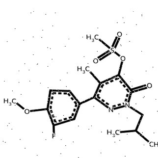 COc1ccc(-c2nn(CC(C)C)c(=O)c(OS(C)(=O)=O)c2C)cc1F